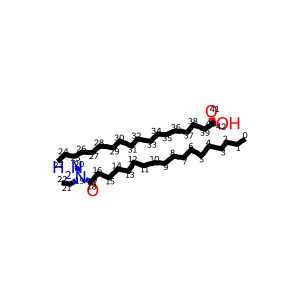 CCCCCCCCCCCCCCCCCC(=O)N(N)CC.CCCCCCCCCCCCCCCCCC(=O)O